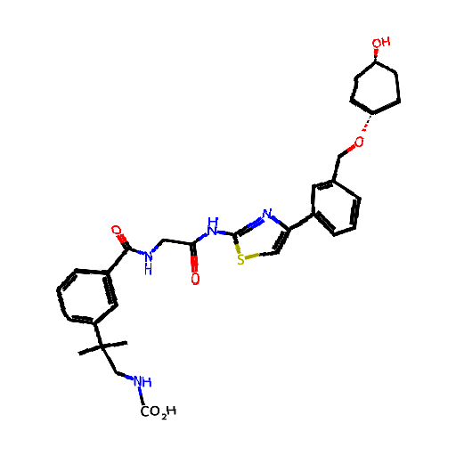 CC(C)(CNC(=O)O)c1cccc(C(=O)NCC(=O)Nc2nc(-c3cccc(CO[C@H]4CC[C@H](O)CC4)c3)cs2)c1